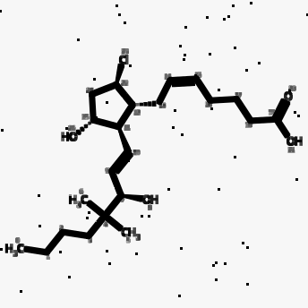 CCCCC(C)(C)[C@H](O)/C=C/[C@@H]1[C@@H](C/C=C\CCCC(=O)O)[C@H](Cl)C[C@H]1O